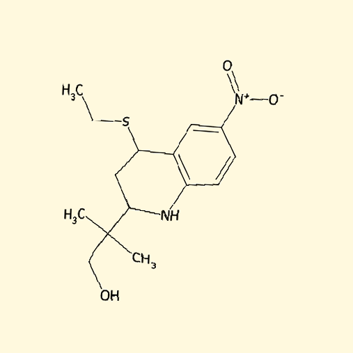 CCSC1CC(C(C)(C)CO)Nc2ccc([N+](=O)[O-])cc21